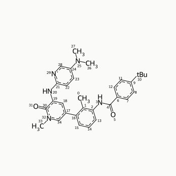 Cc1c(NC(=O)c2ccc(C(C)(C)C)cc2)cccc1-c1cc(Nc2ccc(N(C)C)cn2)c(=O)n(C)c1